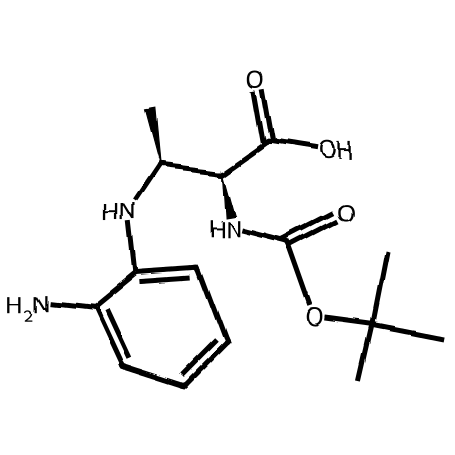 C[C@H](Nc1ccccc1N)[C@H](NC(=O)OC(C)(C)C)C(=O)O